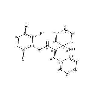 Fc1ccc(Cl)c(F)c1CNC1=Nc2ccccc2NC12CCNCC2